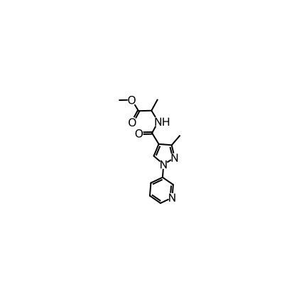 COC(=O)C(C)NC(=O)c1cn(-c2cccnc2)nc1C